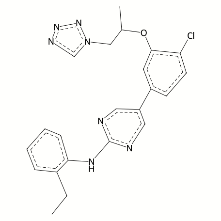 CCc1ccccc1Nc1ncc(-c2ccc(Cl)c(OC(C)Cn3cnnn3)c2)cn1